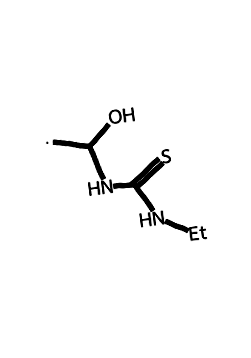 [CH2]C(O)NC(=S)NCC